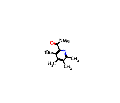 CNC(=O)c1nc(C)c(C)c(C)c1C(C)(C)C